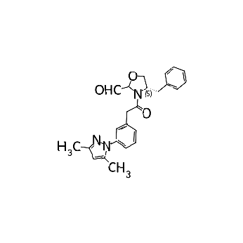 Cc1cc(C)n(-c2cccc(CC(=O)N3C(C=O)OC[C@@H]3Cc3ccccc3)c2)n1